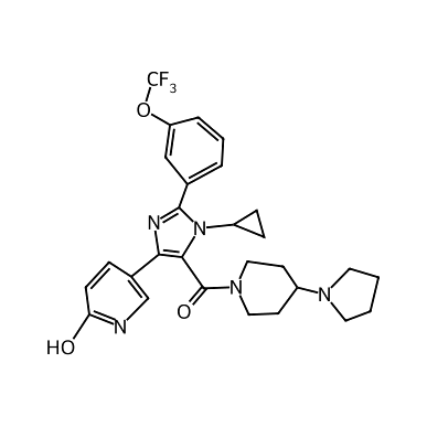 O=C(c1c(-c2ccc(O)nc2)nc(-c2cccc(OC(F)(F)F)c2)n1C1CC1)N1CCC(N2CCCC2)CC1